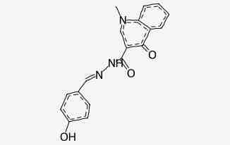 Cn1cc(C(=O)N/N=C/c2ccc(O)cc2)c(=O)c2ccccc21